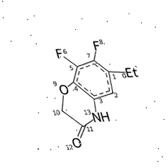 CCc1cc2c(c(F)c1F)OCC(=O)N2